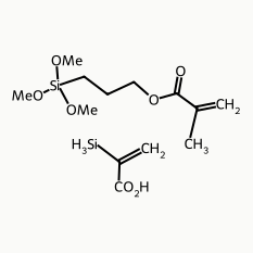 C=C(C)C(=O)OCCC[Si](OC)(OC)OC.C=C([SiH3])C(=O)O